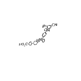 CC(C)c1cc(C#N)cc2nc(-c3ccc(C(=O)NCC4CCC(c5ccc(C(=O)O)cc5)CC4)cc3)oc12